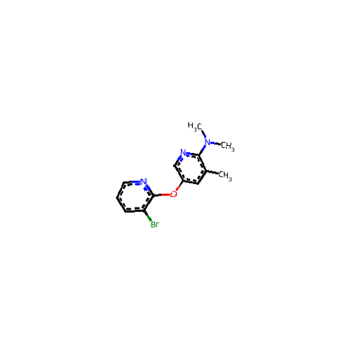 Cc1cc(Oc2ncccc2Br)cnc1N(C)C